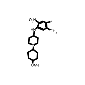 COC1CCC(N2CCC(Nc3cc(C)c(F)cc3[N+](=O)[O-])CC2)CC1